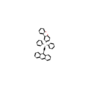 C(#C[Si](c1ccccc1)(c1ccccc1)c1ccc2oc3ccccc3c2c1)c1c2ccccc2cc2ccccc12